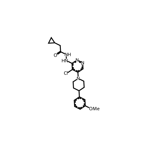 COc1cccc(C2CCN(c3cnnc(NNC(=O)CC4CC4)c3Cl)CC2)c1